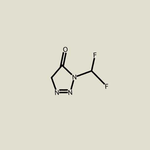 O=C1CN=NN1C(F)F